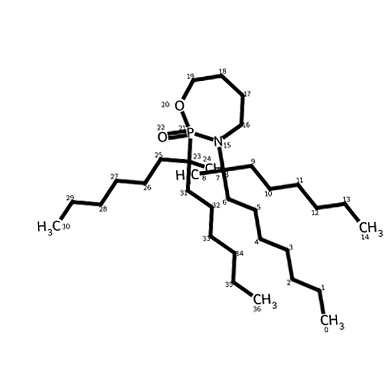 CCCCCCCC(C)(CCCCCC)N1CCCCOP1(=O)C(C)(CCCCCC)CCCCCC